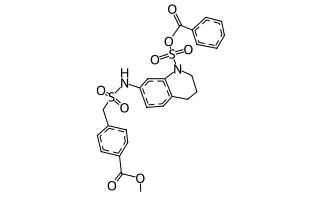 COC(=O)c1ccc(CS(=O)(=O)Nc2ccc3c(c2)N(S(=O)(=O)OC(=O)c2ccccc2)CCC3)cc1